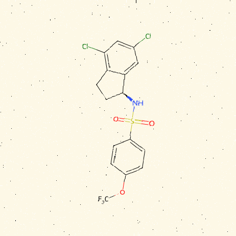 O=S(=O)(N[C@H]1CCc2c(Cl)cc(Cl)cc21)c1ccc(OC(F)(F)F)cc1